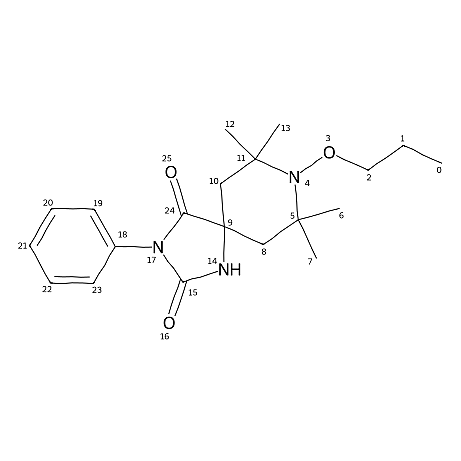 CCCON1C(C)(C)CC2(CC1(C)C)NC(=O)N(c1ccccc1)C2=O